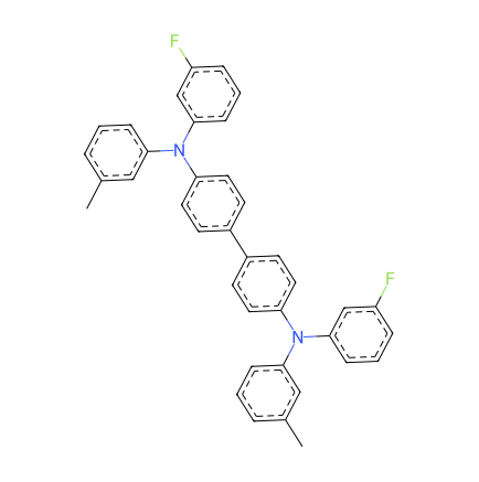 Cc1cccc(N(c2ccc(-c3ccc(N(c4cccc(C)c4)c4cccc(F)c4)cc3)cc2)c2cccc(F)c2)c1